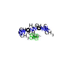 Cc1cc(/N=N/c2n(C)cc[n+]2C)ccc1N1CCN(c2ccc(/N=N/c3n(C)cc[n+]3C)cc2C)CC1.[Cl][Zn-2]([Cl])([Cl])[Cl]